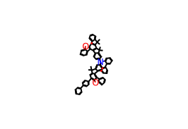 CC1(C)c2cc(N(c3ccc4c(c3)C(C)(C)c3c5c(c6oc7ccccc7c6c3-4)-c3ccccc3C5(C)C)c3ccccc3-c3ccccc3)ccc2-c2c1cc(-c1ccc(-c3ccccc3)cc1)c1oc3ccccc3c21